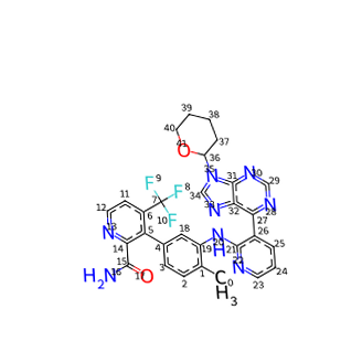 Cc1ccc(-c2c(C(F)(F)F)ccnc2C(N)=O)cc1Nc1ncccc1-c1ncnc2c1ncn2C1CCCCO1